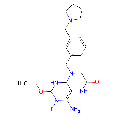 CCOC1NC2C(=C(N)N1I)NC(=O)CN2Cc1cccc(CN2CCCC2)c1